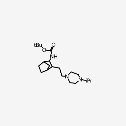 CC(C)N1CCN(CCC2C3CCC(C3)C2NC(=O)OC(C)(C)C)CC1